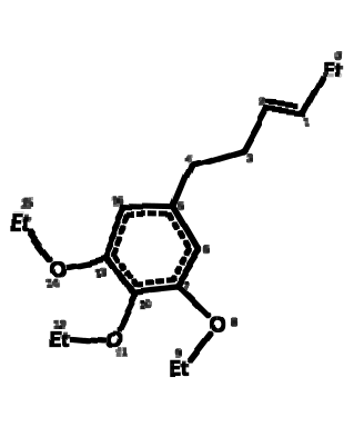 [CH2]C/C=C/CCc1cc(OCC)c(OCC)c(OCC)c1